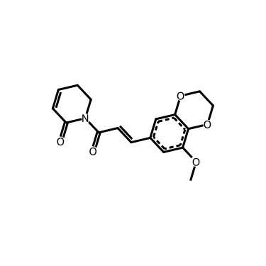 COc1cc(C=CC(=O)N2CCC=CC2=O)cc2c1OCCO2